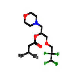 O=C(CC(C(F)(F)F)C(F)(F)F)OC(COCC(F)(F)C(F)F)CN1CCOCC1